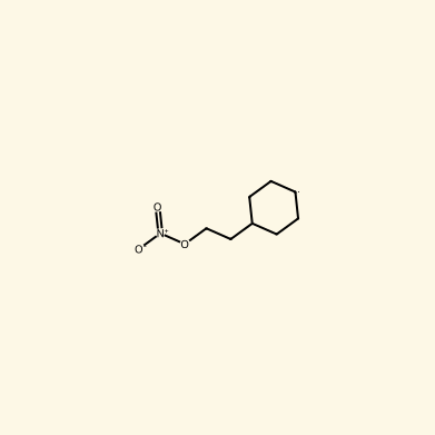 O=[N+]([O-])OCCC1CC[CH]CC1